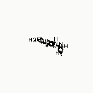 Cc1cc2[nH]c(-c3n[nH]c4c3C[C@@H]3[C@H](C)[C@]3(C)C4)nc2cc1N(C)C(=O)CN1CCO[C@H](CO)C1